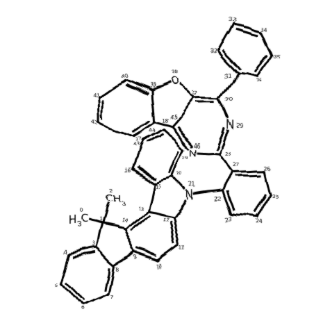 CC1(C)c2ccccc2-c2ccc3c(c21)c1ccccc1n3-c1ccccc1-c1nc(-c2ccccc2)c2oc3ccccc3c2n1